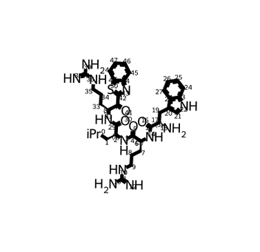 CC(C)C[C@H](NC(=O)[C@H](CCCNC(=N)N)NC(=O)[C@@H](N)Cc1c[nH]c2ccccc12)C(=O)N[C@@H](CCCNC(=N)N)C(=O)c1nc2ccccc2s1